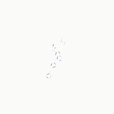 C=CC(=O)Nc1cc2c(Nc3ccc(OCc4ccccn4)c(Cl)c3)ncnc2cc1OC[C@@H]1C[C@@H]2CN(C)C[C@@H]2C1